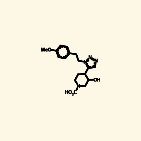 COc1ccc(CCn2nncc2C2CCN(C(=O)O)CC2O)cc1